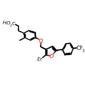 CCc1oc(-c2ccc(C(F)(F)F)cc2)cc1COc1ccc(CCC(=O)O)c(C)c1